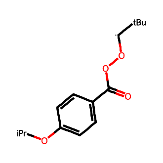 CC(C)Oc1ccc(C(=O)OO[CH]C(C)(C)C)cc1